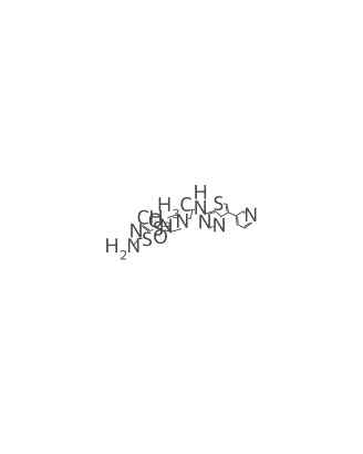 Cc1nc(N)sc1S(=O)(=O)N1CCN(C[C@H](C)Nc2ncnc3c(-c4cccnc4)csc23)CC1